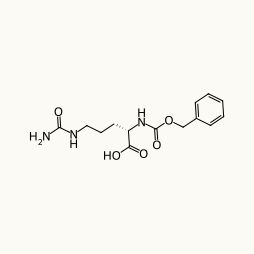 NC(=O)NCCC[C@H](NC(=O)OCc1ccccc1)C(=O)O